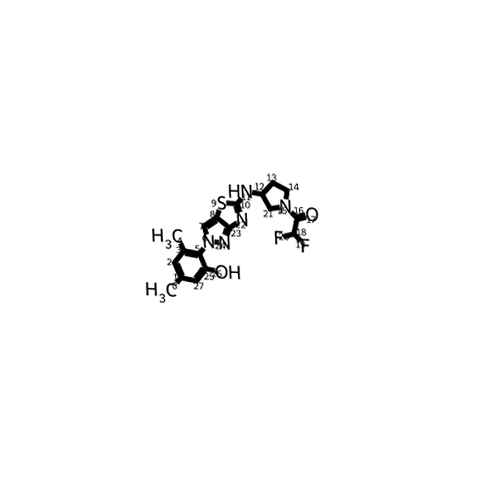 Cc1cc(C)c(-n2cc3sc(NC4CCN(C(=O)C(F)F)C4)nc3n2)c(O)c1